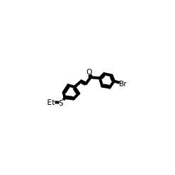 CCSc1ccc(C=CC(=O)c2ccc(Br)cc2)cc1